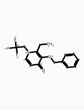 CCc1c(OCc2ccccc2)c(=O)ccn1CC(F)(F)F